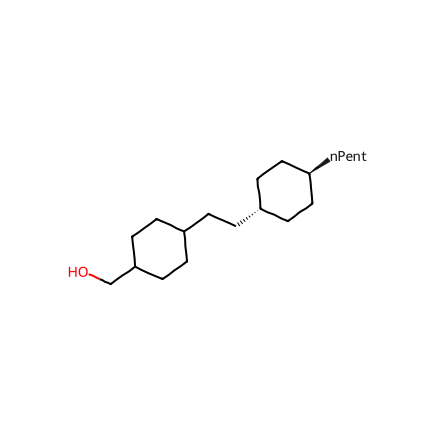 CCCCC[C@H]1CC[C@H](CCC2CCC(CO)CC2)CC1